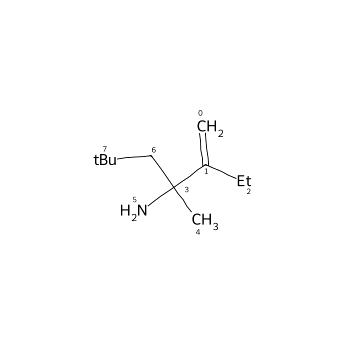 C=C(CC)C(C)(N)CC(C)(C)C